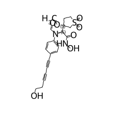 CO[C@]1([C@@H](C(=O)NO)N(C=O)c2ccc(C#CC#CCCO)cc2)CCS(=O)(=O)C1